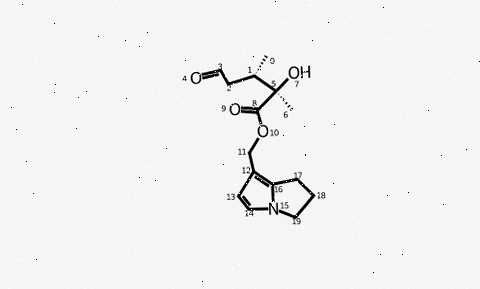 C[C@@H](CC=O)[C@@](C)(O)C(=O)OCc1ccn2c1CCC2